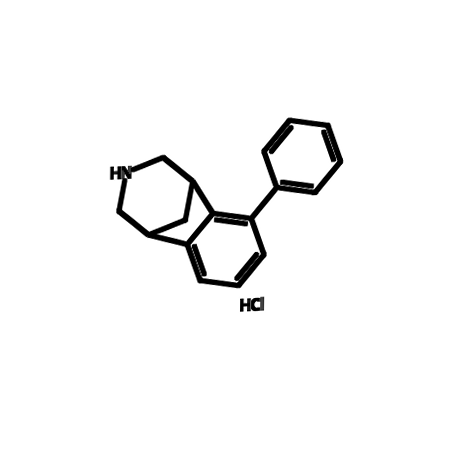 Cl.c1ccc(-c2cccc3c2C2CNCC3C2)cc1